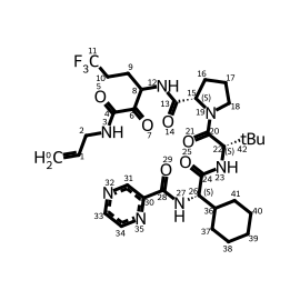 C=CCNC(=O)C(=O)C(CCC(F)(F)F)NC(=O)[C@@H]1CCCN1C(=O)[C@@H](NC(=O)[C@@H](NC(=O)c1cnccn1)C1CCCCC1)C(C)(C)C